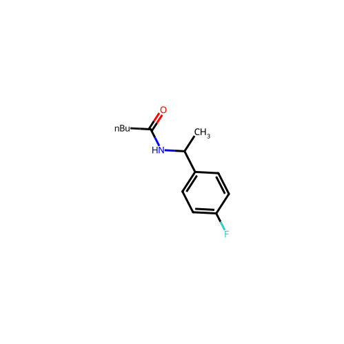 CCCCC(=O)NC(C)c1ccc(F)cc1